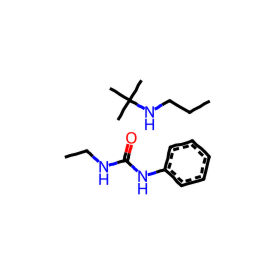 CCCNC(C)(C)C.CCNC(=O)Nc1ccccc1